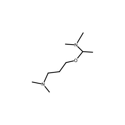 CC(OCCCN(C)C)N(C)C